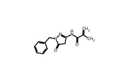 C=C(C)C(=O)NC1=NN(Cc2ccccc2)C(=O)C1